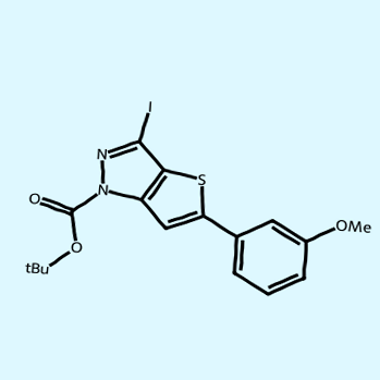 COc1cccc(-c2cc3c(s2)c(I)nn3C(=O)OC(C)(C)C)c1